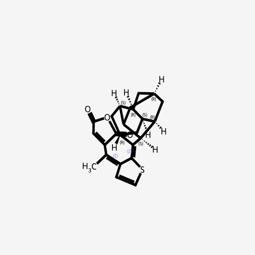 C/C(C1=CC(=O)OC1=O)=c1\ccs\c1=C1\[C@H]2C[C@@H]3[C@H]4C[C@H]5CC([C@@H](C2)[C@H]3C5)[C@H]14